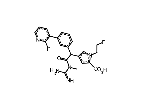 CN(C(=N)N)C(=O)C(c1cccc(-c2cccnc2F)c1)c1cc(C(=O)O)n(CCF)c1